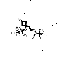 CC1CC(CC=N[S+]([O-])C(C)(C)C)(O[Si](C)(C)C(C)(C)C)C1